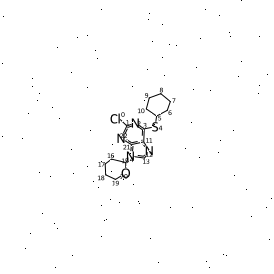 Clc1nc(SC2CCCCC2)c2ncn(C3CCCCO3)c2n1